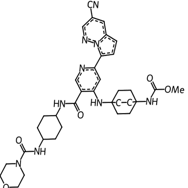 COC(=O)NC12CCC(Nc3cc(-c4ccc5cc(C#N)cnn45)ncc3C(=O)NC3CCC(NC(=O)N4CCOCC4)CC3)(CC1)CC2